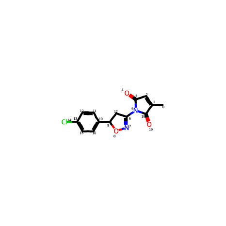 CC1=CC(=O)N(C2=NOC(c3ccc(Cl)cc3)C2)C1=O